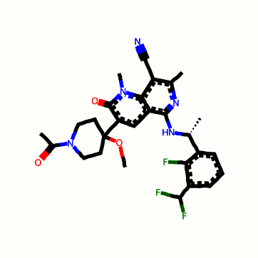 COC1(c2cc3c(N[C@H](C)c4cccc(C(F)F)c4F)nc(C)c(C#N)c3n(C)c2=O)CCN(C(C)=O)CC1